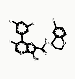 CC(C)(C)c1c(C(=O)N[C@H]2CCOc3ccc(F)cc32)sc2c(-c3cc(Cl)cc(Cl)c3)c(F)cnc12